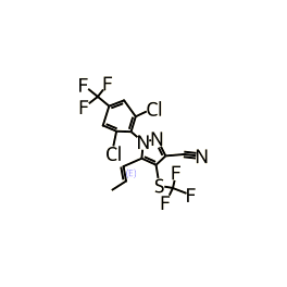 C/C=C/c1c(SC(F)(F)F)c(C#N)nn1-c1c(Cl)cc(C(F)(F)F)cc1Cl